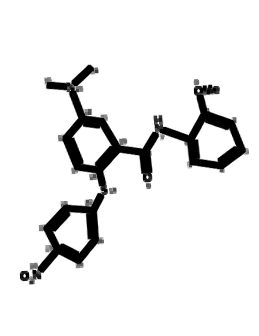 COc1ccccc1NC(=O)c1cc(N(C)C)ccc1Sc1ccc([N+](=O)[O-])cc1